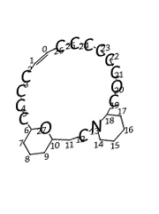 C1=CCCCCC2CCCC(CCN3CCCCC3COCCCCCC1)O2